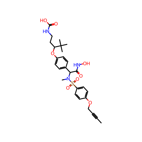 CC#CCOc1ccc(S(=O)(=O)N(C)C(C(=O)NO)c2ccc(OC(CCNC(=O)O)C(C)(C)C)cc2)cc1